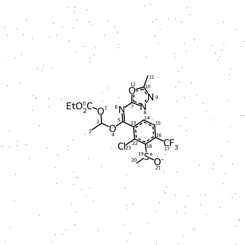 CCOC(=O)OC(C)OC(=Nc1nnc(C)o1)c1ccc(C(F)(F)F)c([S+](C)[O-])c1Cl